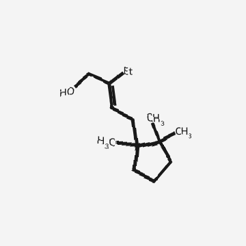 CC/C(=C\CC1(C)CCCC1(C)C)CO